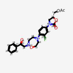 CC(=O)OC[C@H]1CN(c2ccc(N3CCON(CC(=O)c4ccccc4)CC3)c(F)c2)C(=O)O1